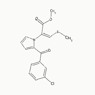 COC(=O)C(=CSC)n1cccc1C(=O)c1cccc(Cl)c1